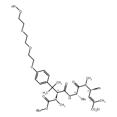 CCCOCCOCCOCCOc1ccc(C(C)(C)[C@@H](C(=O)N[C@H](C(=O)N(C)[C@H](/C=C(\C)C(=O)OCC)C(C)C)C(C)(C)C)N(C)C(=O)OC(C)(C)C)cc1